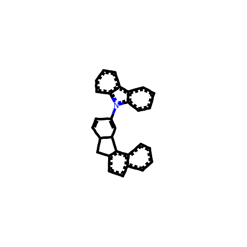 C1=CC2Cc3ccc4ccccc4c3C2C=C1n1c2ccccc2c2ccccc21